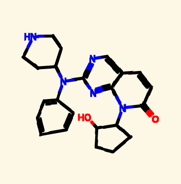 O=c1ccc2cnc(N(c3ccccc3)C3CCNCC3)nc2n1C1CCCC1O